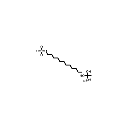 CC(O)(O)O.CCCCCCCCCCCCOS(=O)(=O)[O-].[Na+]